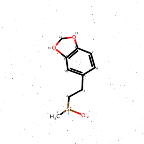 C[S+]([O-])CCc1ccc2c(c1)OCO2